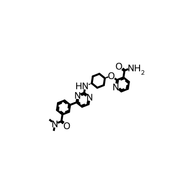 CN(C)C(=O)c1cccc(-c2ccnc(N[C@H]3CC[C@H](Oc4ncccc4C(N)=O)CC3)n2)c1